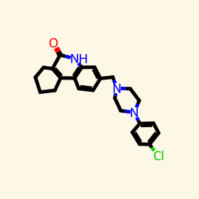 O=c1[nH]c2cc(CN3CCN(c4ccc(Cl)cc4)CC3)ccc2c2c1CCCC2